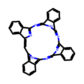 c1ccc2c(c1)-c1cc3[nH]c(nc4nc(nc5[nH]c(nc-2n1)c1ccccc51)-c1ccccc1-4)c1ccccc31